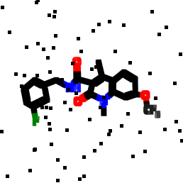 Cc1c(C(=O)NCc2cccc(F)c2)c(=O)n(C)c2cc(OC(F)(F)F)ccc12